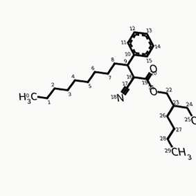 CCCCCCCCCC(c1ccccc1)C(C#N)C(=O)OCC(CC)CCCC